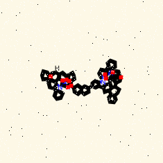 c1cc(C2CCc3ccccc3-c3cc4c5cc(-c6ccc7ccc(-c8nc(-n9c%10ccccc%10c%10cc%11c%12c(c%109)-c9c(ccc%10ccccc9%10)[C@H](CC%12)c9ccccc9-%11)nc9ccccc89)cc7c6)ccc5n5c6ccc7ccccc7c6c(c32)c45)cc(-n2c3ccccc3c3cccnc32)c1